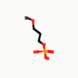 CCOCCCOP(=O)(O)O